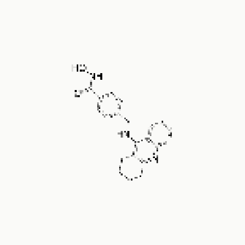 O=C(NO)c1ccc(CNc2c3c(nc4ccccc24)CCCC3)cc1